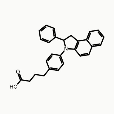 O=C(O)CCCc1ccc(N2c3ccc4ccccc4c3CC2c2ccccc2)cc1